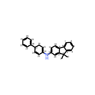 CC1(C)c2ccccc2-c2ccc(NC3=CCC(c4ccccc4)C=C3)cc21